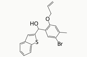 C=CCOc1cc(C)c(Br)cc1C(O)c1cc2ccccc2s1